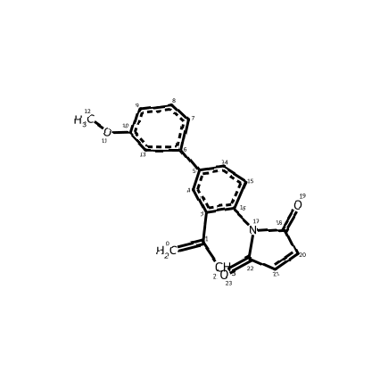 C=C(C)c1cc(-c2cccc(OC)c2)ccc1N1C(=O)C=CC1=O